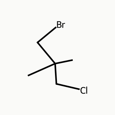 CC(C)(CCl)CBr